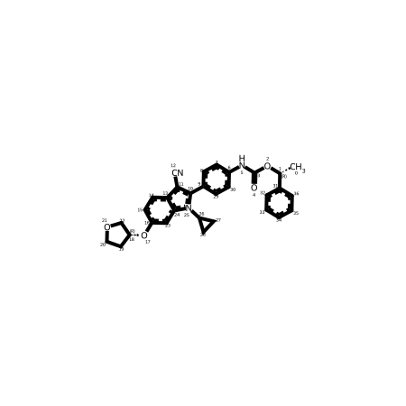 C[C@@H](OC(=O)Nc1ccc(-c2c(C#N)c3ccc(O[C@@H]4CCOC4)cc3n2C2CC2)cc1)c1ccccc1